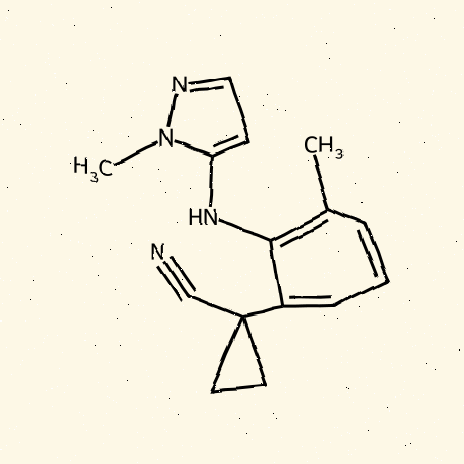 Cc1cccc(C2(C#N)CC2)c1Nc1ccnn1C